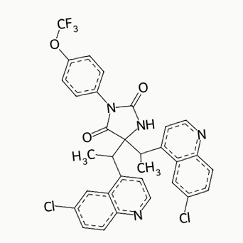 CC(c1ccnc2ccc(Cl)cc12)C1(C(C)c2ccnc3ccc(Cl)cc23)NC(=O)N(c2ccc(OC(F)(F)F)cc2)C1=O